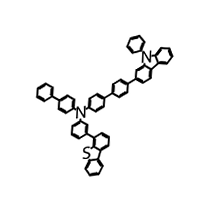 c1ccc(-c2ccc(N(c3ccc(-c4ccc(-c5ccc6c7ccccc7n(-c7ccccc7)c6c5)cc4)cc3)c3cccc(-c4cccc5c4sc4ccccc45)c3)cc2)cc1